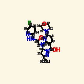 CC(C)(C)C1=NN2C(O)c3ccc(N4CCOCC4)nc3N(CC(=O)Nc3ccc(F)cn3)C2C1